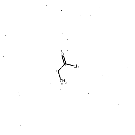 C[CH]C(=O)Cl